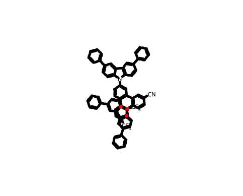 N#Cc1ccc(-n2c3ccc(-c4ccccc4)cc3c3cc(-c4ccccc4)ccc32)c(-c2cc(-n3c4ccc(-c5ccccc5)cc4c4cc(-c5ccccc5)ccc43)ccc2-c2ccc(C(F)(F)F)cc2C(F)(F)F)c1